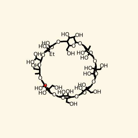 CCC1OC2OC3C(CO)OC(OC4C(C)OC(OC5C(CO)OC(OC6C(CO)OC(OC7C(CO)OC(OC8C(CO)OC(OC(C)C(CO)OC(C(O)O)OC1C(O)C2O)C(O)C8O)C(O)C7O)C(O)C6O)C(O)C5O)C(O)C4O)C(O)C3O